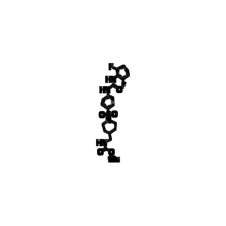 CC(C)(C)OC(=O)NCC1CCN(S(=O)(=O)c2ccc(NC(=O)Nc3c(F)cccc3F)cc2)CC1